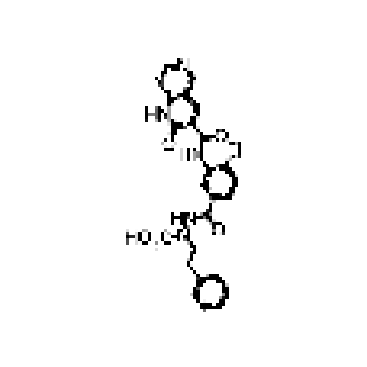 O=C(NN(CCc1ccccc1)C(=O)O)c1ccc(Cl)c(NC(=O)c2cc3cncnc3[nH]c2=O)c1